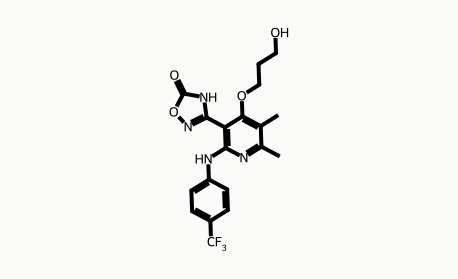 Cc1nc(Nc2ccc(C(F)(F)F)cc2)c(-c2noc(=O)[nH]2)c(OCCCO)c1C